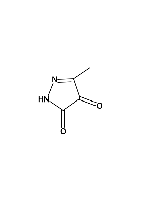 CC1=NNC(=O)C1=O